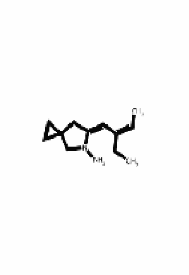 C/C=C(\C=C1\CC2(CC2)CN1N)CC